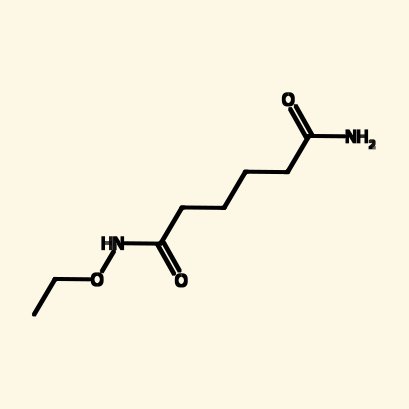 CCONC(=O)CCCCC(N)=O